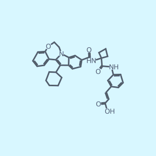 O=C(O)/C=C/c1cccc(NC(=O)C2(NC(=O)c3ccc4c(C5CCCCC5)c5n(c4c3)CCOc3ccccc3-5)CCC2)c1